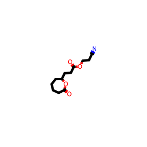 N#CCCOC(=O)CCC1CCCCC(=O)O1